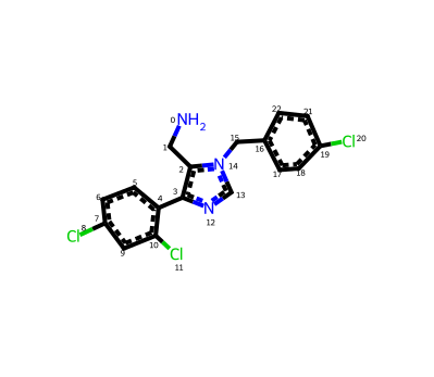 NCc1c(-c2ccc(Cl)cc2Cl)ncn1Cc1ccc(Cl)cc1